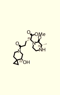 COC(=O)[C@@H](CCC(=O)N1CCC2(CC2)[C@H](O)C1)N1CCN[C@@H](C)C1=O